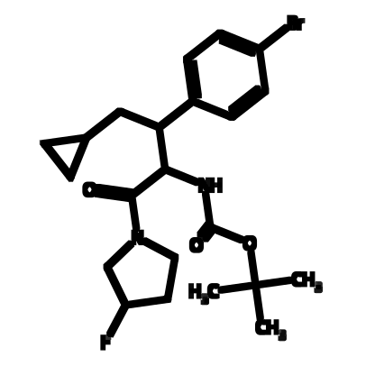 CC(C)(C)OC(=O)NC(C(=O)N1CCC(F)C1)C(CC1CC1)c1ccc(Br)cc1